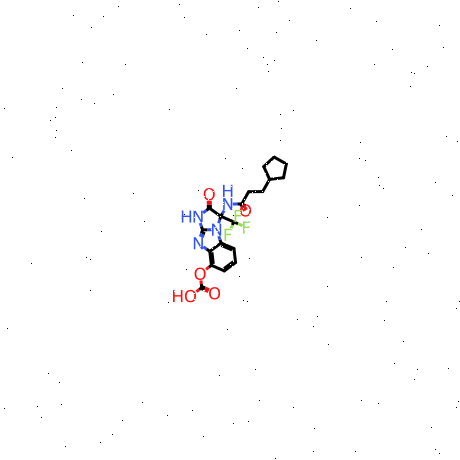 O=C(CCC1CCCC1)NC1(C(F)(F)F)C(=O)Nc2nc3c(OC(=O)O)cccc3n21